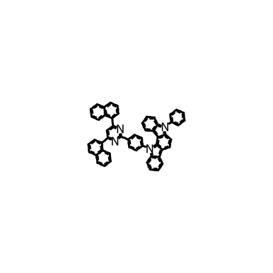 c1ccc(-n2c3ccccc3c3c2ccc2c4ccccc4n(-c4ccc(-c5nc(-c6cccc7ccccc67)cc(-c6cccc7ccccc67)n5)cc4)c23)cc1